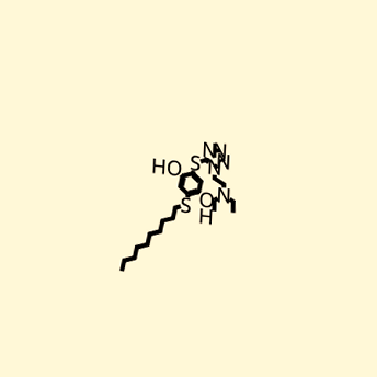 CCCCCCCCCCSc1cc(O)c(Sc2nnnn2CCN(CC)CC)cc1O